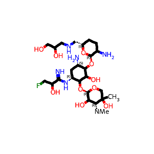 CN[C@@H]1C(O)[C@@H](OC2C(O)C(O[C@H]3O[C@H](CNCC(O)CO)CCC3N)[C@@H](N)C[C@H]2NC(=N)C(O)CF)OCC1(C)O